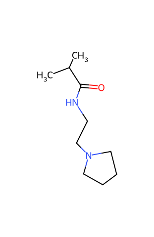 CC(C)C(=O)NCCN1CCCC1